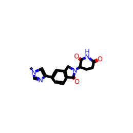 Cn1cnc(-c2ccc3c(c2)CN(C2CCC(=O)NC2=O)C3=O)c1